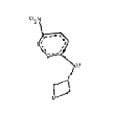 O=[N+]([O-])c1ccc(NC2COC2)cn1